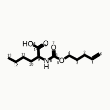 C=CCCCOC(=O)NC(CCCC)C(=O)O